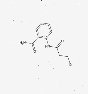 NC(=O)c1ccccc1NC(=O)CCBr